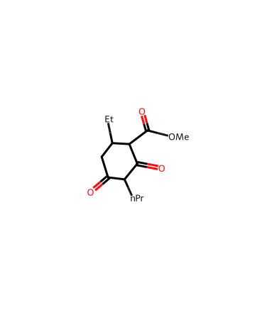 CCCC1C(=O)CC(CC)C(C(=O)OC)C1=O